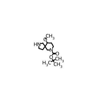 COC1CCN(C(=O)OC(C)(C)C)CC12CCNC2